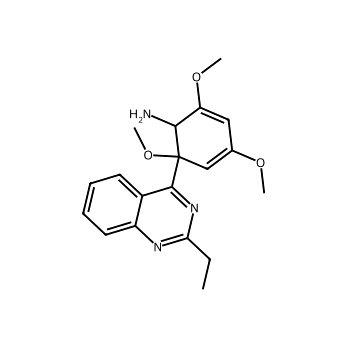 CCc1nc(C2(OC)C=C(OC)C=C(OC)C2N)c2ccccc2n1